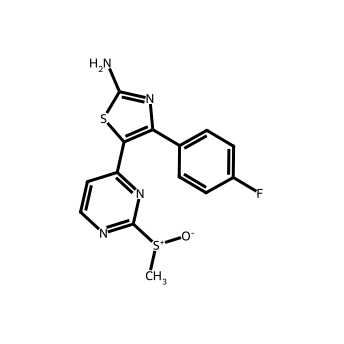 C[S+]([O-])c1nccc(-c2sc(N)nc2-c2ccc(F)cc2)n1